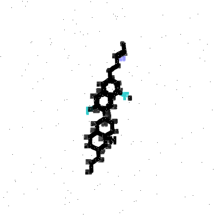 C/C=C/CCc1cc(F)c2cc([C@@H]3CC[C@@H]4CC(CCC)CCC4C3)c(F)cc2c1